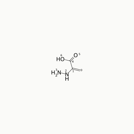 C=C(NN)C(=O)O